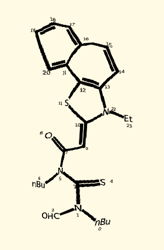 CCCCN(C=O)C(=S)N(CCCC)C(=O)/C=C1\Sc2c(ccc3ccccc23)N1CC